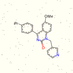 COc1ccc2c(c1)c(-c1ccc(C(C)C)cc1)nc(=O)n2Cc1cccnc1